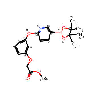 CC(C)(C)OC(=O)COc1cccc(Oc2ccc(B3OC(C)(C)C(C)(C)O3)cn2)c1